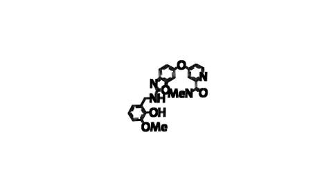 CNC(=O)c1cc(Oc2ccc3nc(NCc4cccc(OC)c4O)oc3c2)ccn1